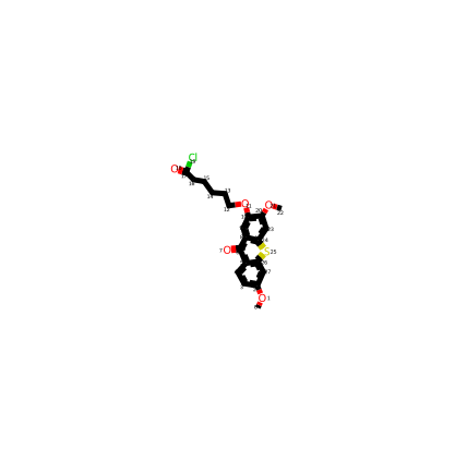 COc1ccc2c(=O)c3cc(OCCCCCC(=O)Cl)c(OC)cc3sc2c1